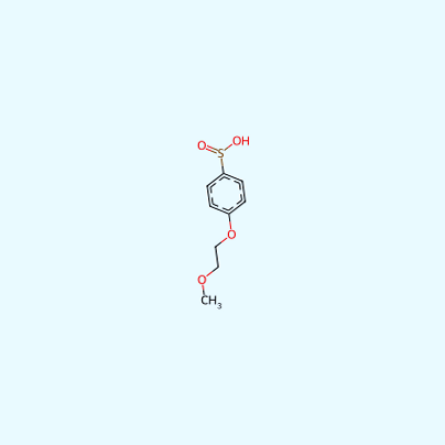 COCCOc1ccc(S(=O)O)cc1